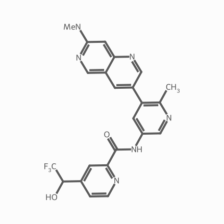 CNc1cc2ncc(-c3cc(NC(=O)c4cc(C(O)C(F)(F)F)ccn4)cnc3C)cc2cn1